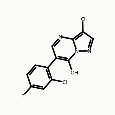 Oc1c(-c2ccc(F)cc2Cl)cnc2c(Cl)cnn12